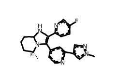 C[C@@H]1CCCC2NC(c3ccc(F)cn3)=C(c3ccnc(-c4cnn(C)c4)c3)N21